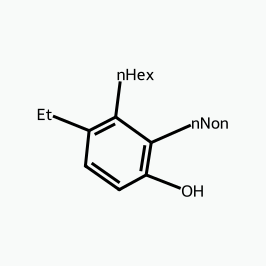 CCCCCCCCCc1c(O)ccc(CC)c1CCCCCC